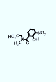 CN(CC(=O)O)C(=O)c1cccc([N+](=O)[O-])c1O